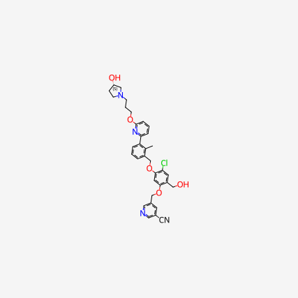 Cc1c(COc2cc(OCc3cncc(C#N)c3)c(CO)cc2Cl)cccc1-c1cccc(OCCCN2CC[C@H](O)C2)n1